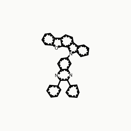 c1ccc(-c2nc3ccc(-n4c5ccccc5c5ccc6c7ccccc7oc6c54)cc3nc2-c2ccccc2)cc1